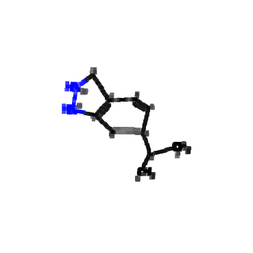 CC(C)c1ccc2c(c1)NNC2